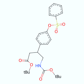 CC(C)(C)OC(=O)CC(CNC(=O)OC(C)(C)C)c1ccc(OS(=O)(=O)c2ccccc2)cc1